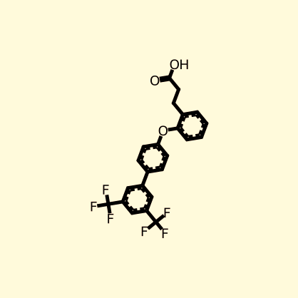 O=C(O)CCc1ccccc1Oc1ccc(-c2cc(C(F)(F)F)cc(C(F)(F)F)c2)cc1